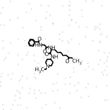 CCC(=O)CCCCC[C@H](NC(=O)CNC(=O)c1ccccc1)C(=O)NC1CCN(CC)CC1